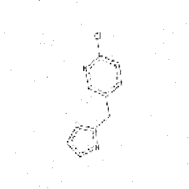 Clc1ccc(Cc2ncco2)cn1